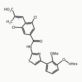 CCCCCCOc1cccc(-c2csc(NC(=O)c3cc(Cl)c(/C=C(\C)C(=O)O)c(Cl)c3)n2)c1OC